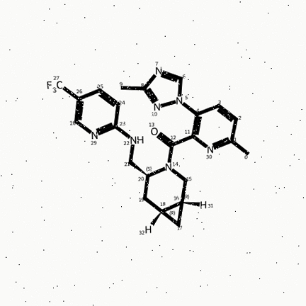 Cc1ccc(-n2cnc(C)n2)c(C(=O)N2C[C@@H]3C[C@@H]3C[C@H]2CNc2ccc(C(F)(F)F)cn2)n1